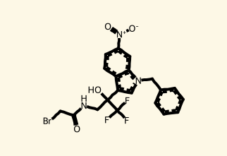 O=C(CBr)NCC(O)(c1cn(Cc2ccccc2)c2cc([N+](=O)[O-])ccc12)C(F)(F)F